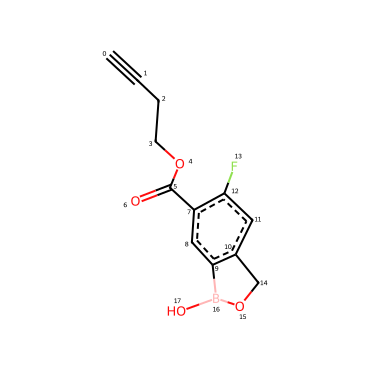 C#CCCOC(=O)c1cc2c(cc1F)COB2O